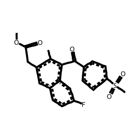 COC(=O)Cc1cc2ccc(F)cc2c(C(=O)c2ccc(S(C)(=O)=O)cc2)c1C